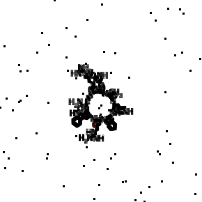 C[C@H]1NC(=O)[C@@H](NC(=O)[C@@H](CCCNC(=N)N)N2C(=O)CNC2=O)CSSC[C@@H](C(N)=O)NC(=O)[C@H](Cc2c[nH]c3ccccc23)NC(=O)[C@H](CCCNC(=N)N)NC(=O)[C@@H](Cc2ccccc2)NC(=O)[C@H](Cc2c[nH]cn2)NC1=O